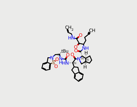 C#CCCC(NC(=O)[C@@H]1[C@H]2CCC[C@H]2CN1C(=O)[C@@H](NC(=O)N[C@H](CN1Cc2ccccc2S1(=O)=O)C(C)(C)C)C1Cc2ccccc2C1)C(=O)C(=O)NCC=C